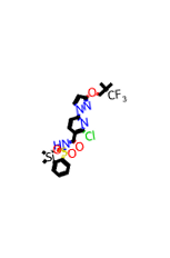 CC(C)(COc1ccn(-c2ccc(C(=O)NS(=O)(=O)c3ccccc3[Si](C)(C)C)c(Cl)n2)n1)C(F)(F)F